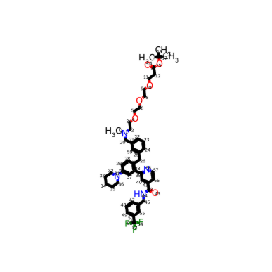 CN(CCOCCOCCOCCC(=O)OC(C)(C)C)Cc1cccc(Cc2ccc(N3CCCCC3)cc2-c2cc(C(=O)NCc3cccc(C(F)(F)F)c3)ccn2)c1